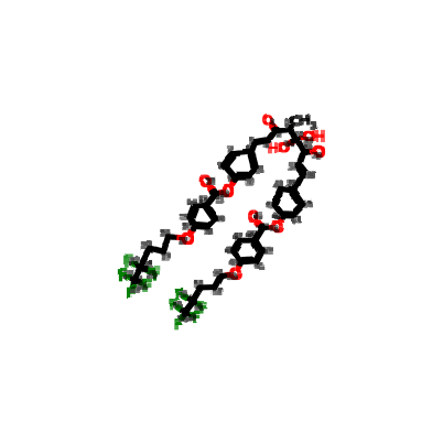 CC(C(=O)C=Cc1ccc(OC(=O)c2ccc(OCCCC(F)(F)C(F)(F)F)cc2)cc1)C(O)(O)C(=O)C=Cc1ccc(OC(=O)c2ccc(OCCCC(F)(F)C(F)(F)F)cc2)cc1